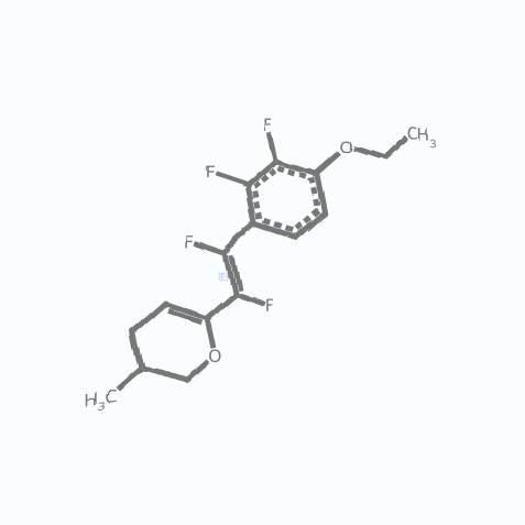 CCOc1ccc(/C(F)=C(\F)C2=CCC(C)CO2)c(F)c1F